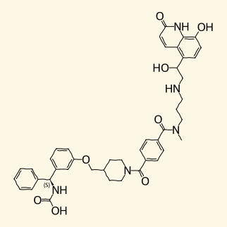 CN(CCCNCC(O)c1ccc(O)c2[nH]c(=O)ccc12)C(=O)c1ccc(C(=O)N2CCC(COc3cccc([C@@H](NC(=O)O)c4ccccc4)c3)CC2)cc1